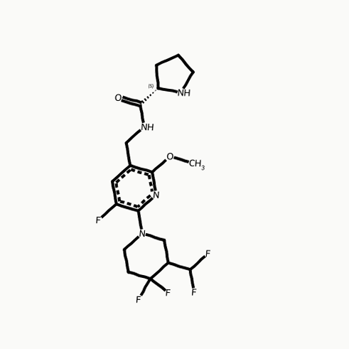 COc1nc(N2CCC(F)(F)C(C(F)F)C2)c(F)cc1CNC(=O)[C@@H]1CCCN1